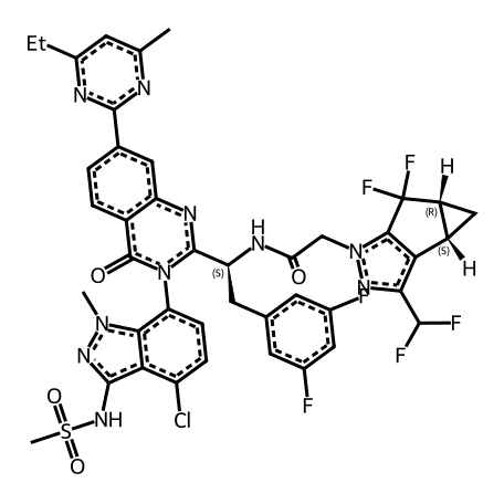 CCc1cc(C)nc(-c2ccc3c(=O)n(-c4ccc(Cl)c5c(NS(C)(=O)=O)nn(C)c45)c([C@H](Cc4cc(F)cc(F)c4)NC(=O)Cn4nc(C(F)F)c5c4C(F)(F)[C@@H]4C[C@H]54)nc3c2)n1